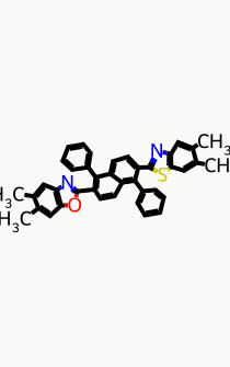 Cc1cc2nc(-c3ccc4c(-c5ccccc5)c(-c5nc6cc(C)c(C)cc6s5)ccc4c3-c3ccccc3)oc2cc1C